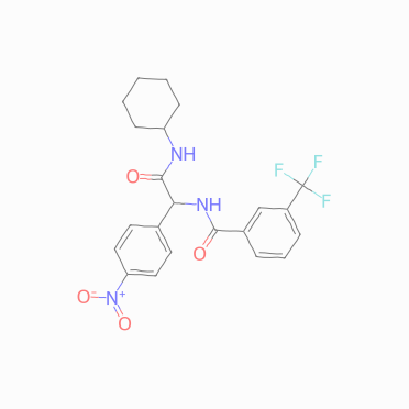 O=C(NC(C(=O)NC1CCCCC1)c1ccc([N+](=O)[O-])cc1)c1cccc(C(F)(F)F)c1